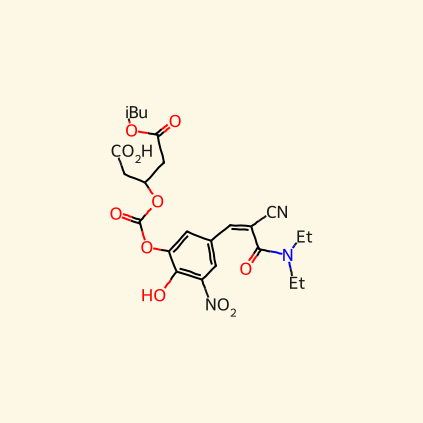 CCC(C)OC(=O)CC(CC(=O)O)OC(=O)Oc1cc(C=C(C#N)C(=O)N(CC)CC)cc([N+](=O)[O-])c1O